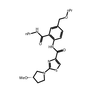 CCCNC(=O)c1cc(COCCC)ccc1NC(=O)c1csc(N2CC[C@H](OC)C2)n1